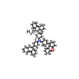 CC1C(c2ccc(N(c3ccc(-c4cc5ccccc5c5ccccc45)cc3)c3ccc(-c4cccc5oc6ccccc6c45)cc3)cc2)=c2ccccc2=C2C=CC=CC21